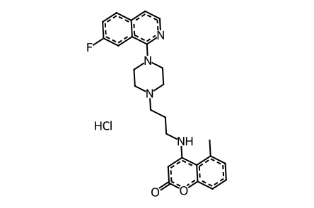 Cc1cccc2oc(=O)cc(NCCCN3CCN(c4nccc5ccc(F)cc45)CC3)c12.Cl